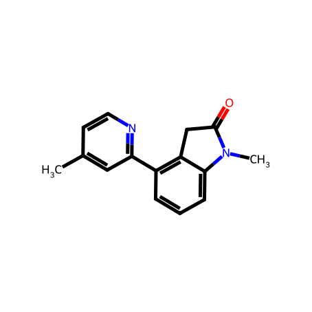 Cc1ccnc(-c2cccc3c2CC(=O)N3C)c1